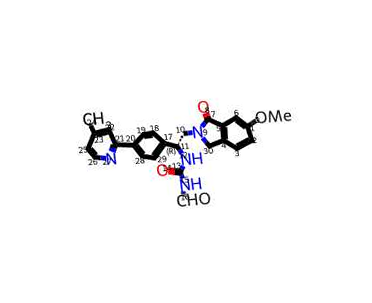 COc1ccc2c(c1)C(=O)N(C[C@H](NC(=O)NC=O)c1ccc(-c3cc(C)ccn3)cc1)C2